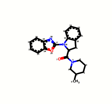 CC1CCCN(C(=O)C2Cc3ccccc3N2c2nc3ccccc3o2)C1